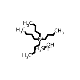 CCCC[N+](CCCC)(CCCC)CCCC.O[SiH3].[F-]